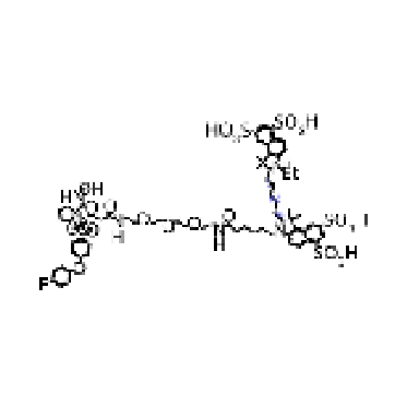 CC[N+]1=C(/C=C/C=C/C=C2/N(CCCCCC(=O)NCCOCCOCCOCCNC(=O)CCN(C3(C(=O)NO)CCCC3)S(=O)(=O)c3ccc(Oc4ccc(F)cc4)cc3)c3ccc4c(S(=O)(=O)O)cc(S(=O)(=O)O)cc4c3C2(C)C)C(C)(C)c2c1ccc1c(S(=O)(=O)O)cc(S(=O)(=O)O)cc21